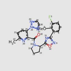 COc1c(F)cccc1-c1noc(C2CCCN2C(=O)c2nc(C)ccc2-n2nccn2)n1